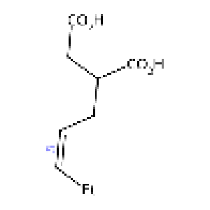 CC/C=C\CC(CC(=O)O)C(=O)O